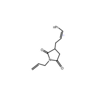 C=CCN1C(=O)CC(C/C=C\CCC)C1=O